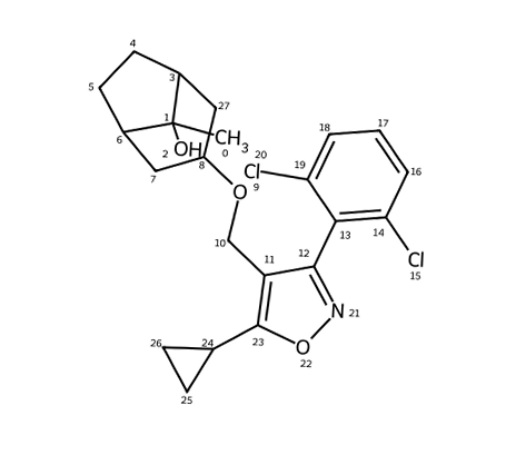 CC1(O)C2CCC1CC(OCc1c(-c3c(Cl)cccc3Cl)noc1C1CC1)C2